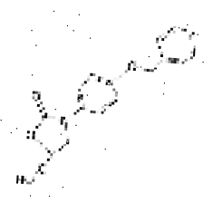 O=C1OC(CO)CN1c1ccc(OCc2ccccc2)cc1